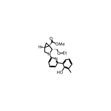 CCOC[C@@H]1N(c2cccc(-c3cccc(C)c3O)n2)C[C@@H]2C[C@@]21C(=O)OC